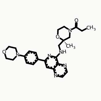 CCC(=O)N1CCO[C@](C)(CNc2nc(-c3ccc(N4CCOCC4)cc3)cc3nccnc23)C1